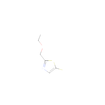 O=C(O)COCc1ncc(S)s1